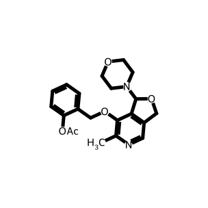 CC(=O)Oc1ccccc1COc1c(C)ncc2c1C(N1CCOCC1)OC2